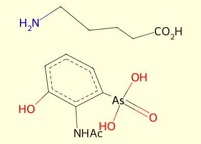 CC(=O)Nc1c(O)cccc1[As](=O)(O)O.NCCCCC(=O)O